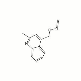 C=NOCc1cc(C)nc2ccccc12